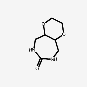 O=C1NCC2OCCOC2CN1